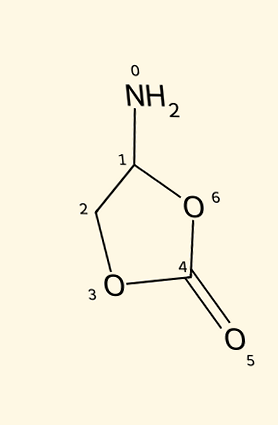 NC1COC(=O)O1